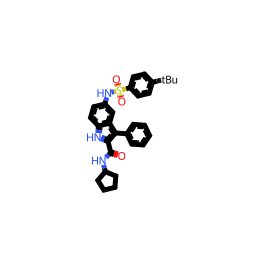 CC(C)(C)c1ccc(S(=O)(=O)Nc2ccc3[nH]c(C(=O)NC4CCCC4)c(-c4ccccc4)c3c2)cc1